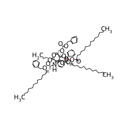 C=CCO[C@H]1O[C@H](COC(=O)OCc2ccccc2)[C@@H](OP(=O)(c2ccccc2)c2ccccc2)[C@H](OC(=O)C[C@@H](CCCCCCCCCCC)OC(=O)CCCCCCCCCCCCC)[C@H]1NC(=O)C[C@H](CCCCCCCCCCC)OCc1ccccc1